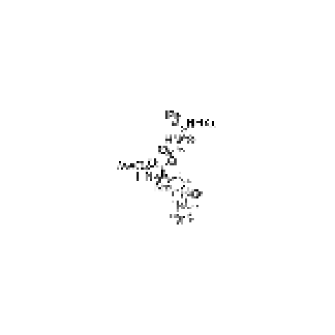 COC(=O)Nc1nc2cc(C(=O)c3ccccc3)ccc2n1COC(=O)CNC(=O)C(CC(C)C)NC(C)=O